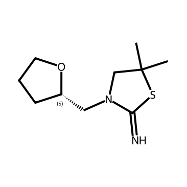 CC1(C)CN(C[C@@H]2CCCO2)C(=N)S1